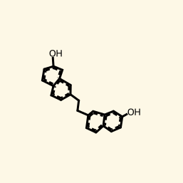 Oc1ccc2ccc(CCc3ccc4ccc(O)cc4c3)cc2c1